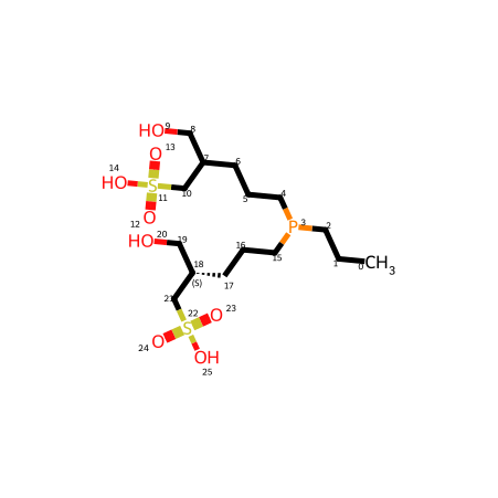 CCCP(CCCC(CO)CS(=O)(=O)O)CCC[C@@H](CO)CS(=O)(=O)O